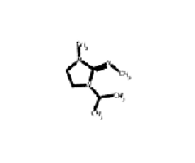 C/N=C1/N(C)CCN1C(C)C